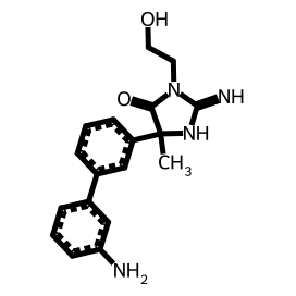 CC1(c2cccc(-c3cccc(N)c3)c2)NC(=N)N(CCO)C1=O